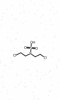 O=S(=O)(O)N(CCCl)CCCl